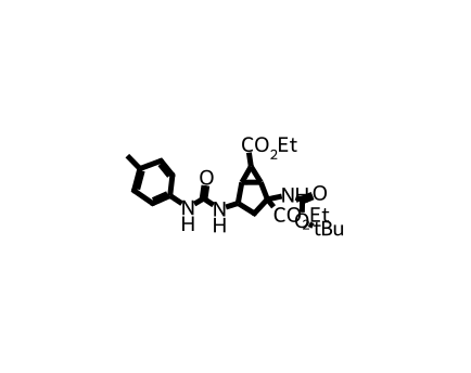 CCOC(=O)C1C2C(NC(=O)Nc3ccc(C)cc3)CC(NC(=O)OC(C)(C)C)(C(=O)OCC)C12